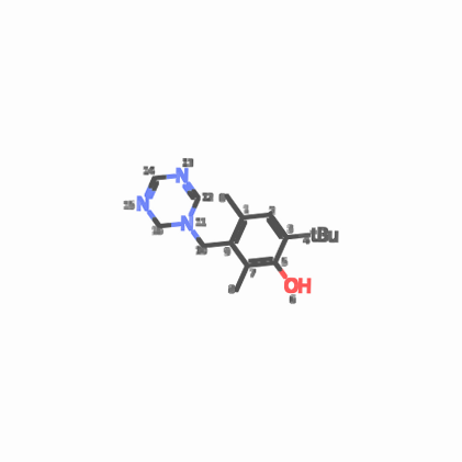 Cc1cc(C(C)(C)C)c(O)c(C)c1CN1C=NC=NC1